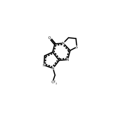 O=c1c2cnn(CC(F)(F)F)c2nc2n1CCS2